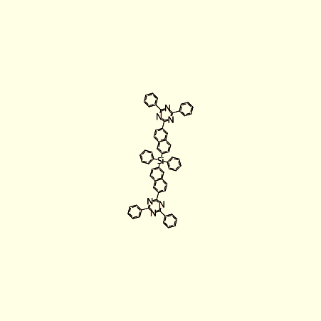 c1ccc(-c2nc(-c3ccccc3)nc(-c3ccc4cc([Si](c5ccccc5)(c5ccccc5)c5ccc6cc(-c7nc(-c8ccccc8)nc(-c8ccccc8)n7)ccc6c5)ccc4c3)n2)cc1